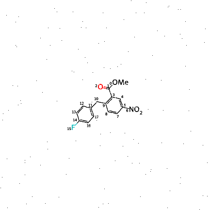 COC(=O)c1cc([N+](=O)[O-])ccc1Cc1ccc(F)cc1